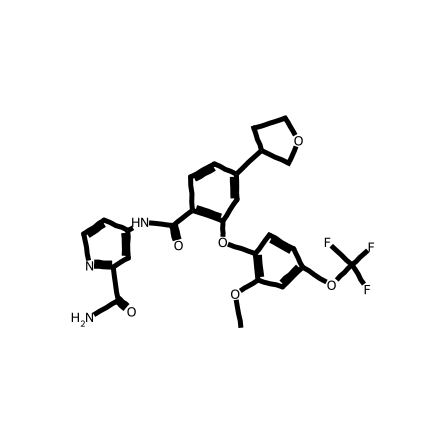 COc1cc(OC(F)(F)F)ccc1Oc1cc(C2CCOC2)ccc1C(=O)Nc1ccnc(C(N)=O)c1